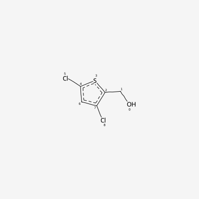 OCc1sc(Cl)cc1Cl